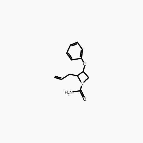 C=CCC1C(Oc2ccccc2)CN1C(N)=O